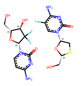 Nc1ccn([C@@H]2O[C@H](CO)[C@@H](O)C2(F)F)c(=O)n1.Nc1nc(=O)n([C@@H]2CS[C@H](CO)O2)cc1F